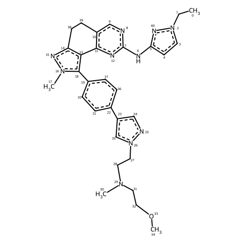 CCn1ccc(Nc2ncc3c(n2)-c2c(nn(C)c2-c2ccc(-c4cnn(CCN(C)CCOC)c4)cc2)CC3)n1